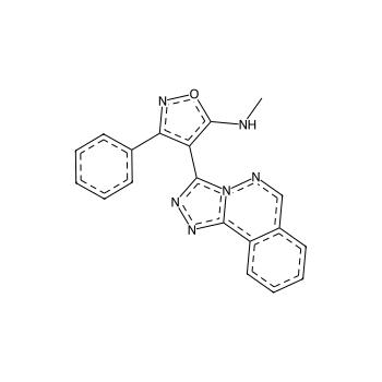 CNc1onc(-c2ccccc2)c1-c1nnc2c3ccccc3cnn12